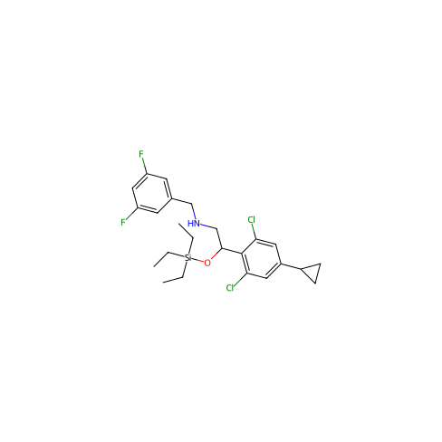 CC[Si](CC)(CC)OC(CNCc1cc(F)cc(F)c1)c1c(Cl)cc(C2CC2)cc1Cl